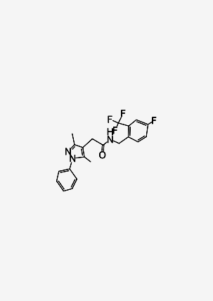 Cc1nn(-c2ccccc2)c(C)c1CC(=O)NCc1ccc(F)cc1C(F)(F)F